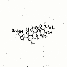 CN(C)c1cc(-c2ccc(CNC(C)(C)C)o2)c(O)c2c1C[C@H]1C[C@@H]3C(N(C)C)C(O)=C(C(N)=O)C(=O)[C@@]3(O)C(O)=C1C2=O